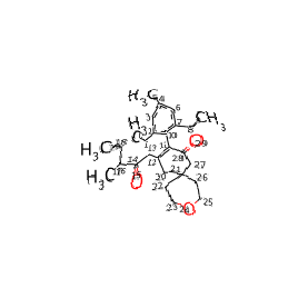 CCc1cc(C)cc(CC)c1C1=C(CC(=O)C(C)CC)CC2(CCOCC2)CC1=O